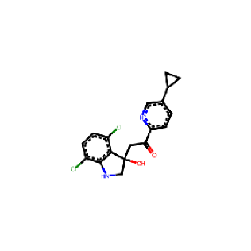 O=C(CC1(O)CNc2c(Cl)ccc(Cl)c21)c1ccc(C2CC2)cn1